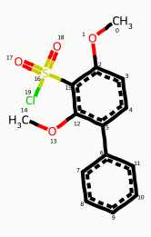 COc1ccc(-c2ccccc2)c(OC)c1S(=O)(=O)Cl